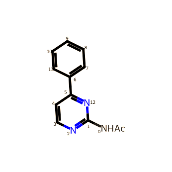 CC(=O)Nc1nccc(-c2ccccc2)n1